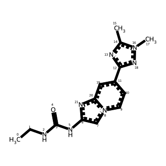 CCNC(=O)Nc1cn2ccc(-c3nc(C)n(C)n3)cc2n1